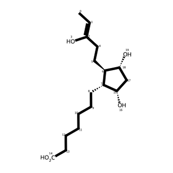 C/C=C(\O)CC[C@@H]1[C@@H](CCCCCCC(=O)O)[C@@H](O)C[C@H]1O